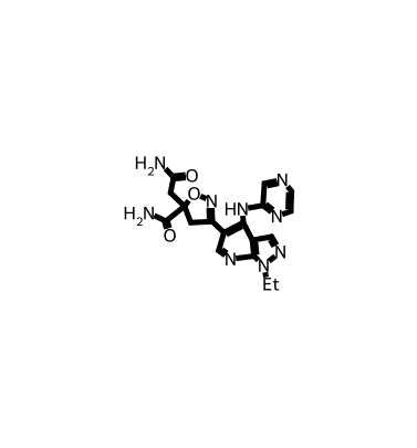 CCn1ncc2c(Nc3cnccn3)c(C3=NOC(CC(N)=O)(C(N)=O)C3)cnc21